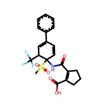 CS(=O)(=O)C1(NC(=O)C2=C(C(=O)O)CCC2)C=CC(c2ccccc2)=CC1C(F)(F)F